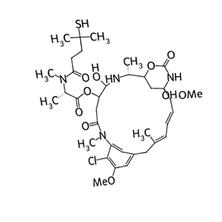 COc1cc2cc(c1Cl)N(C)C(=O)CC(OC(=O)[C@H](C)N(C)C(=O)CCC(C)(C)S)C(O)N[C@H](C)C1C[C@@](O)(NC(=O)O1)[C@H](OC)/C=C/C=C(\C)C2